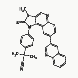 Cn1c(=S)n(-c2ccc(C(C)(C)C#N)cc2)c2c3cc(-c4cnc5ccccc5c4)ccc3ncc21